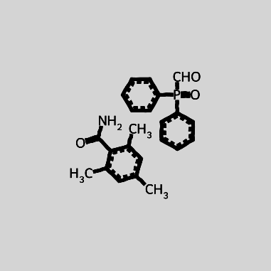 Cc1cc(C)c(C(N)=O)c(C)c1.O=CP(=O)(c1ccccc1)c1ccccc1